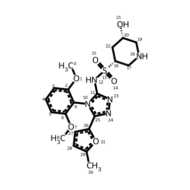 COc1cccc(OC)c1-n1c(NS(=O)(=O)[C@H]2CNC[C@@H](O)C2)nnc1-c1ccc(C)o1